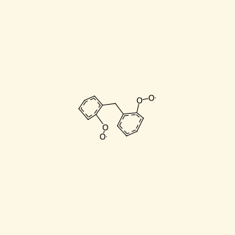 [O]Oc1ccccc1Cc1ccccc1O[O]